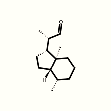 C[C@H](C=O)[C@H]1CC[C@H]2[C@@H](C)CCC[C@]12C